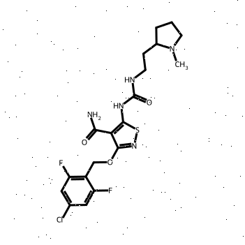 CN1CCCC1CCNC(=O)Nc1snc(OCc2c(F)cc(Cl)cc2F)c1C(N)=O